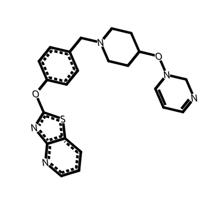 C1=CN(OC2CCN(Cc3ccc(Oc4nc5ncccc5s4)cc3)CC2)CN=C1